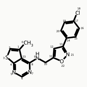 Cc1csc2ncnc(NCc3cc(-c4ccc(Cl)cc4)no3)c12